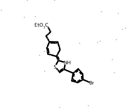 CCOC(=O)CCC1=CCC(=C2NC(c3ccc(Br)cc3)=CS2)C=C1